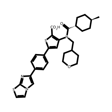 C[C@H]1CC[C@H](C(=O)N(CC2CCOCC2)c2cc(-c3ccc(-c4cn5ccsc5n4)cc3)sc2C(=O)O)CC1